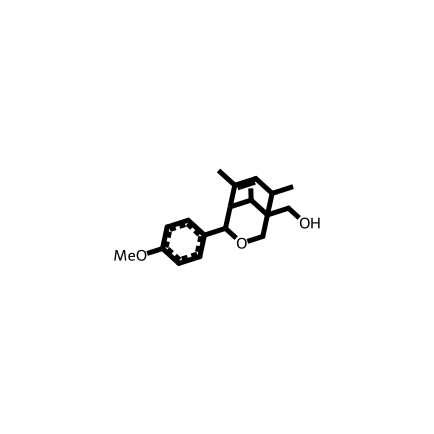 COc1ccc(C2OCC3(CO)C(C)C=C(C)C2C3C)cc1